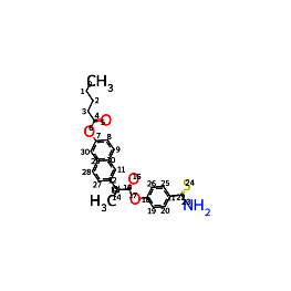 CCCCC(=O)Oc1ccc2cc([C@H](C)C(=O)Oc3ccc(C(N)=S)cc3)ccc2c1